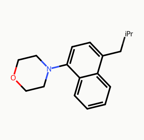 CC(C)Cc1ccc(N2CCOCC2)c2ccccc12